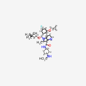 Cc1c(C(=O)NC2CCC(NC(=O)O)CC2)c2nccc(-c3ccc(F)cc3OCC3CC3)c2n1COCC[Si](C)(C)C